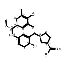 CC[C@@H](NC1=CC[C@H](Cl)C(CN2CC[C@@H](C(=O)O)C2)=C1)[C@@H]1C=C(C)C(Cl)=C(C)C1